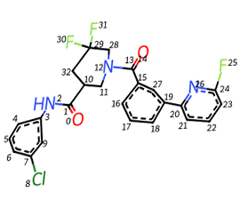 O=C(Nc1cccc(Cl)c1)C1CN(C(=O)c2cccc(-c3cccc(F)n3)c2)CC(F)(F)C1